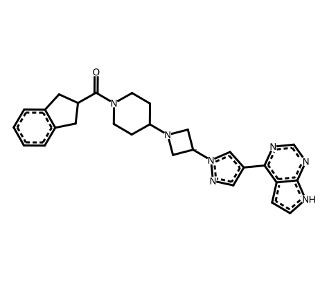 O=C(C1Cc2ccccc2C1)N1CCC(N2C[C](n3cc(-c4ncnc5[nH]ccc45)cn3)C2)CC1